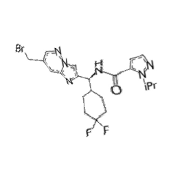 CC(C)n1nccc1C(=O)N[C@H](c1cn2ncc(CBr)cc2n1)C1CCC(F)(F)CC1